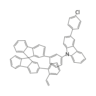 C=Cc1ccccc1-c1ccc2c(c1)C1(c3ccccc3-c3ccc(-c4cccc(-n5c6ccccc6c6cc(-c7ccc(Cl)cc7)ccc65)c4)cc31)c1ccccc1-2